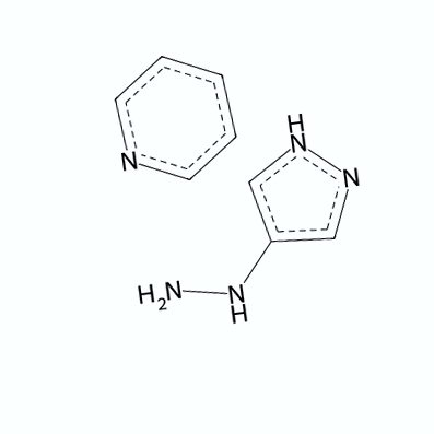 NNc1cn[nH]c1.c1ccncc1